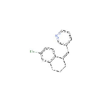 Clc1ccc2c(c1)CCC/C2=C/c1cccnc1